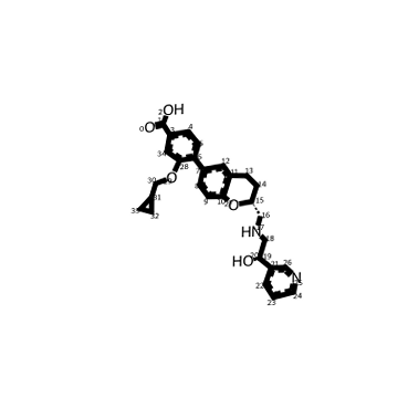 O=C(O)c1ccc(-c2ccc3c(c2)CC[C@H](CNC[C@H](O)c2cccnc2)O3)c(OCC2CC2)c1